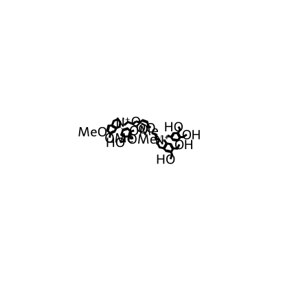 COc1cc2c(cc1OC)[C@@H](c1cc(CO)c(OC)c(OC)c1)[N@+](C)(CCCOC(=O)/C=C\C(=O)OCCC[N@+]1(C)CCc3cc(CO)c(CO)cc3[C@H]1Cc1ccc(CO)c(CO)c1)CC2